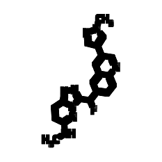 CNc1ccc2nnc(C(F)c3ccc4ncc(-c5cnn(C)c5)cc4c3)n2n1